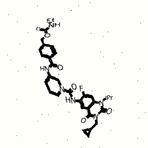 CCNC(=O)OCc1ccc(C(=O)NC2CCCN(C(=O)Nc3cc4c(=O)n(CC5CC5)c(=O)n(C(C)C)c4cc3F)C2)cc1